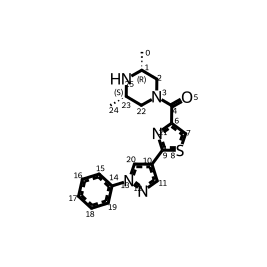 C[C@@H]1CN(C(=O)c2csc(-c3cnn(-c4ccccc4)c3)n2)C[C@H](C)N1